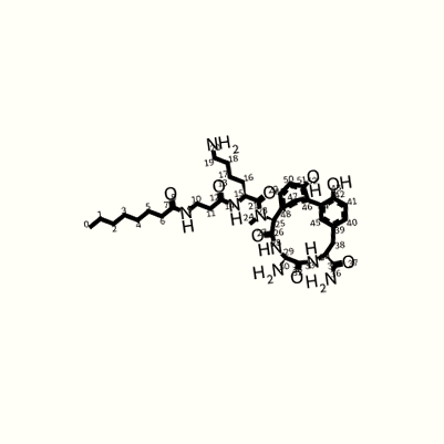 CCCCCCCC(=O)NCCC(=O)N[C@@H](CCCCN)C(=O)N(C)[C@@H]1C(=O)N[C@@H](N)C(=O)N[C@H](C(N)=O)Cc2ccc(O)c(c2)-c2cc1ccc2O